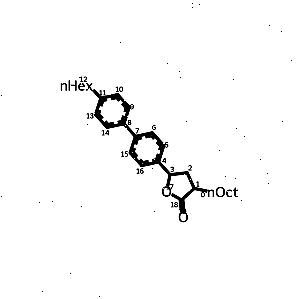 CCCCCCCCC1CC(c2ccc(-c3ccc(CCCCCC)cc3)cc2)OC1=O